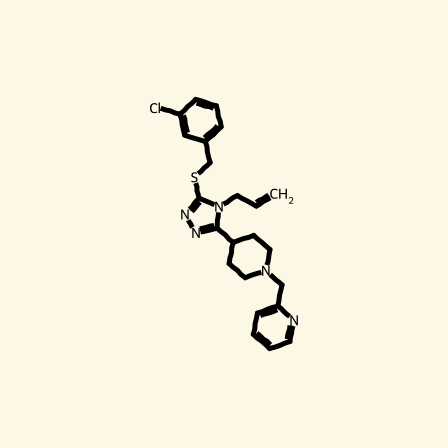 C=CCn1c(SCc2cccc(Cl)c2)nnc1C1CCN(Cc2ccccn2)CC1